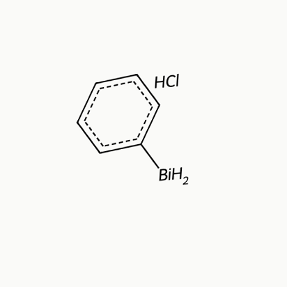 Cl.[BiH2][c]1ccccc1